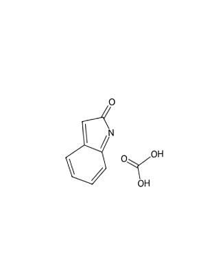 O=C(O)O.O=C1C=c2ccccc2=N1